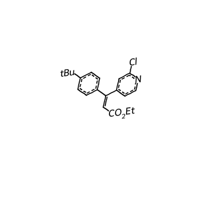 CCOC(=O)C=C(c1ccc(C(C)(C)C)cc1)c1ccnc(Cl)c1